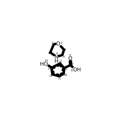 C1COCCN1.O=C(O)c1cccc(O)c1